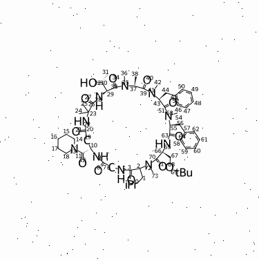 CC(C)CC1C(=O)NCC(=O)N[C@H](C(=O)N2CCCCC2)CC(=O)NC(C)(C)C(=O)N[C@@H]([C@@H](C)O)C(=O)N(C)[C@@H](C)C(=O)N(C)[C@@H](Cc2ccccc2)C(=O)N(C)[C@@H](Cc2ccccc2)C(=O)N[C@@H](COC(C)(C)C)C(=O)N1C